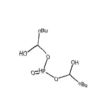 CCCCC(O)O[PH](=O)OC(O)CCCC